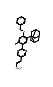 Cc1cc(OCc2ccccc2)c(C23CC4CC(CC(C4)C2)C3)cc1-c1ncc(/C=C/C(=O)O)cn1